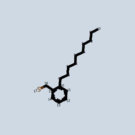 CCCCCCCCCCc1ccccc1C[S]